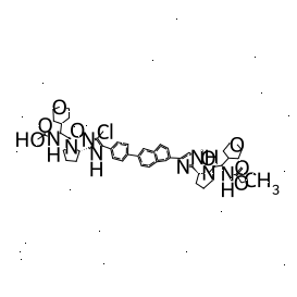 COC(=O)N[C@H](C(=O)N1CCC[C@H]1c1nc(-c2ccc3cc(-c4ccc(-c5[nH]c([C@@H]6CCCN6C(=O)[C@@H](NC(=O)O)C6CCOCC6)nc5Cl)cc4)ccc3c2)c[nH]1)C1CCOCC1